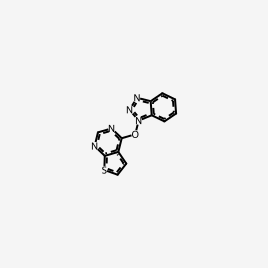 c1ccc2c(c1)nnn2Oc1ncnc2sccc12